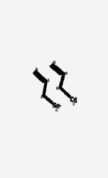 C=CC[Se].C=C[CH2][Cd]